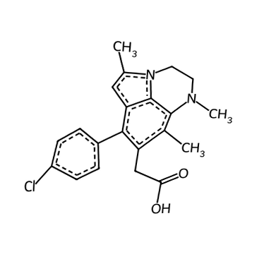 Cc1c(CC(=O)O)c(-c2ccc(Cl)cc2)c2cc(C)n3c2c1N(C)CC3